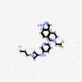 FCCCN1CC(Nc2ccc([C@@H]3c4ccc5[nH]ncc5c4CCN3CC(F)F)nc2)C1